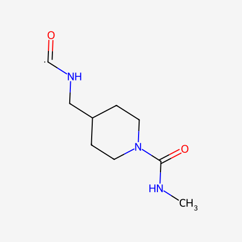 CNC(=O)N1CCC(CN[C]=O)CC1